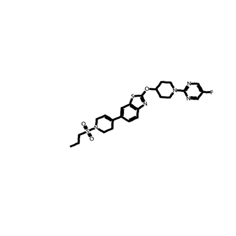 CCCS(=O)(=O)N1CC=C(c2ccc3nc(OC4CCN(c5ncc(F)cn5)CC4)sc3c2)CC1